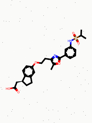 Cc1oc(-c2cccc(NS(=O)(=O)C(C)C)c2)nc1CCOc1ccc2c(c1)CC[C@H]2CC(=O)O